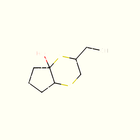 CCC1CSC2CCCC2(O)S1